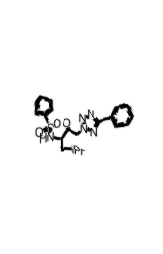 CC(C)CC(NS(=O)(=O)c1ccccc1)C(=O)Cn1nnc(-c2ccccc2)n1